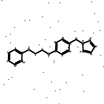 c1ccc(OCCOc2ccc(Cn3nccn3)cc2)nc1